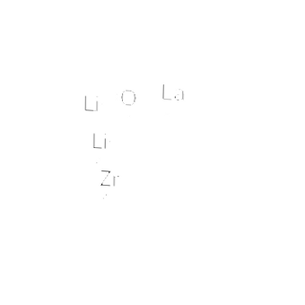 [La].[Li].[Li].[O].[Zr]